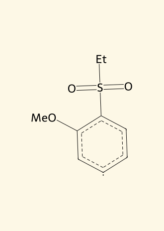 CCS(=O)(=O)c1cc[c]cc1OC